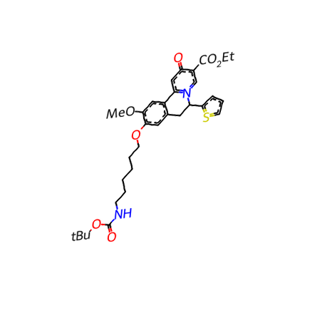 CCOC(=O)c1cn2c(cc1=O)-c1cc(OC)c(OCCCCCCNC(=O)OC(C)(C)C)cc1CC2c1cccs1